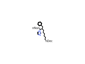 CCCCCCCCCCCCCCCCC(Cc1ccccc1)C(CCCCCCCCC)n1ccnc1